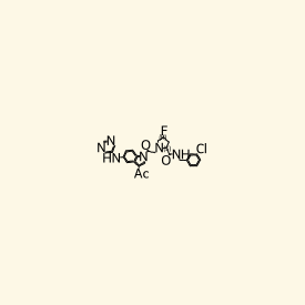 CC(=O)c1cn(C(=O)CN2C[C@H](F)C[C@H]2C(=O)NCc2cccc(Cl)c2)c2ccc(Nc3cncnc3)cc12